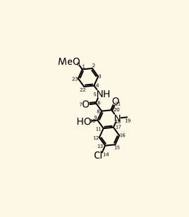 COc1ccc(NC(=O)c2c(O)c3cc(Cl)ccc3n(C)c2=O)cc1